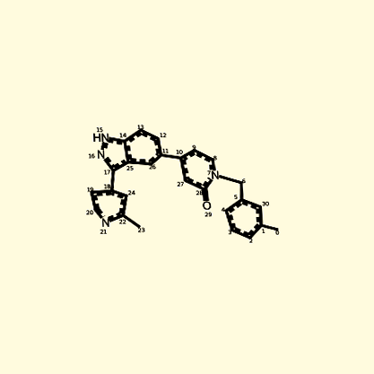 Cc1cccc(Cn2ccc(-c3ccc4[nH]nc(-c5ccnc(C)c5)c4c3)cc2=O)c1